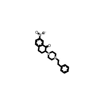 O=C1c2cc([N+](=O)[O-])ccc2CCC1N1CCN(CCc2ccccc2)CC1